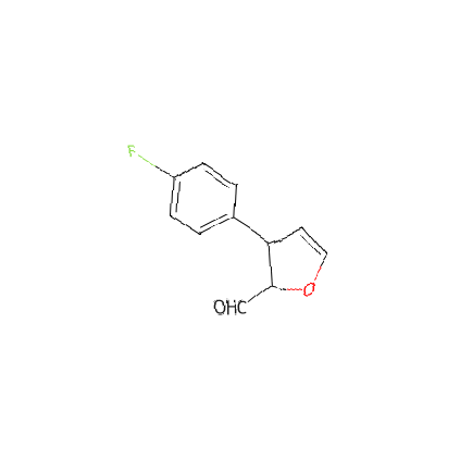 O=CC1OC=CC1c1ccc(F)cc1